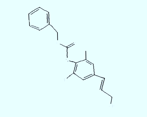 O=C(Nc1c(F)cc(C=CCO)cc1F)OCc1ccccc1